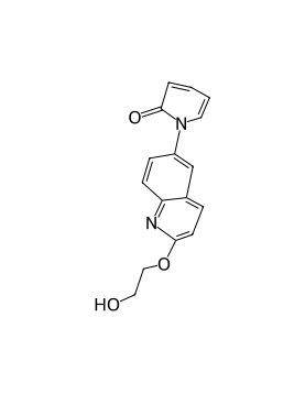 O=c1ccccn1-c1ccc2nc(OCCO)ccc2c1